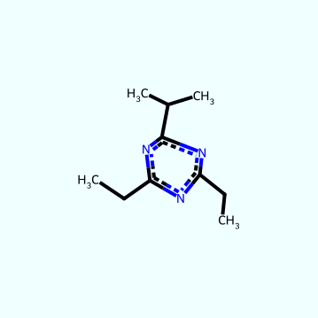 CCc1nc(CC)nc(C(C)C)n1